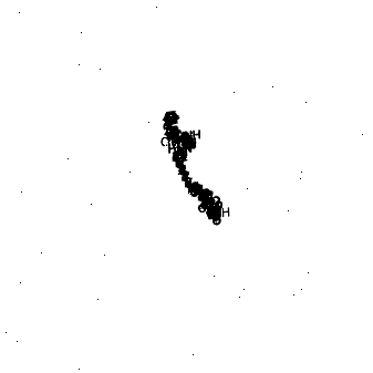 O=C1CCC(N2C(=O)c3ccc(N4CCN(CCCCCCCN5CCC(Nc6ncnc7[nH]cc(C(=O)c8ccc(Oc9ccccc9)cc8Cl)c67)CC5)CC4)cc3C2=O)C(=O)N1